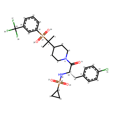 CC(C)(C1CCN(C(=O)[C@H](Cc2ccc(Cl)cc2)NS(=O)(=O)C2CC2)CC1)S(=O)(=O)c1cccc(C(F)(F)F)c1